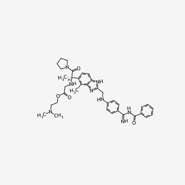 Cc1c([C@@](C)(NCC(=O)OCCN(C)C)C(=O)N2CCCC2)ccc2[nH]c(CNc3ccc(C(=N)NC(=O)c4ccccc4)cc3)nc12